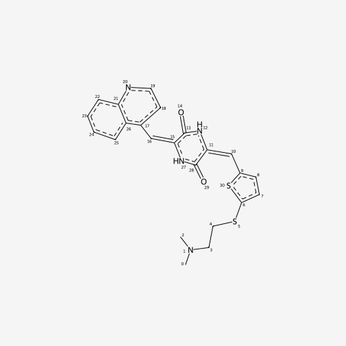 CN(C)CCSc1ccc(C=c2[nH]c(=O)c(=Cc3ccnc4ccccc34)[nH]c2=O)s1